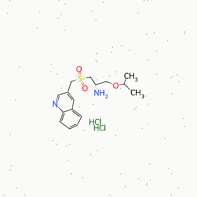 CC(C)OC[C@H](N)CS(=O)(=O)Cc1cnc2ccccc2c1.Cl.Cl